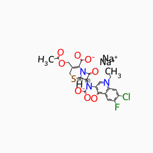 CCn1cc(N(C(=O)[O-])[C@@H]2C(=O)N3C(C(=O)[O-])=C(COC(C)=O)CS[C@H]23)c(=O)c2cc(F)c(Cl)cc21.[Na+].[Na+]